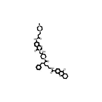 CN1CCN(CCC(=O)Nc2ccc3c(=O)n(CC4(O)CCN(C(=O)C(CCCNC(=O)c5ccc6c(Cl)c7c(nc6c5)CCCC7)Cc5ccccc5)CC4)cnc3c2)CC1